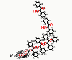 CC(=O)c1ccccc1.CC(C)COCC(C)C.CC(C)OC(C)C.CCCCOCCCC.CCOCC.COC.O=C(c1ccccc1)C(O)c1ccccc1.O=C(c1ccccc1)C(O)c1ccccc1.O=C(c1ccccc1)C(O)c1ccccc1.O=C(c1ccccc1)C(O)c1ccccc1.O=C(c1ccccc1)C(O)c1ccccc1